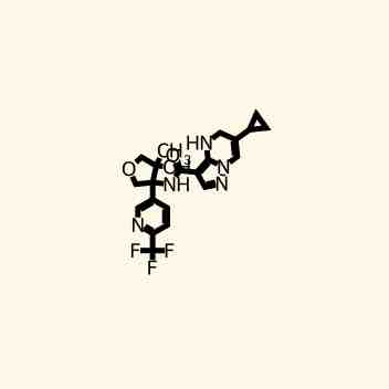 CC1(O)COCC1(NC(=O)c1cnn2c1NCC(C1CC1)=C2)c1ccc(C(F)(F)F)nc1